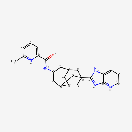 Cc1cccc(C(=O)NC2CC3CC4CC(c5nc6ncccc6[nH]5)(C3)CC4C2)n1